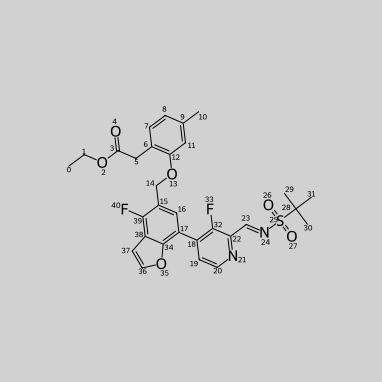 CCOC(=O)Cc1ccc(C)cc1OCc1cc(-c2ccnc(C=NS(=O)(=O)C(C)(C)C)c2F)c2occc2c1F